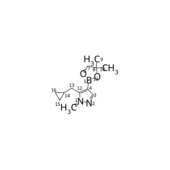 Cn1ncc(B2OCC(C)(C)O2)c1CC1CC1